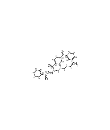 CCCCCCC(=NOC(=O)c1ccccc1)C(=O)c1ccc(C(=O)c2ccccc2)cc1